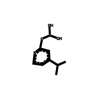 CC(C)c1ccnc(OB(O)O)c1